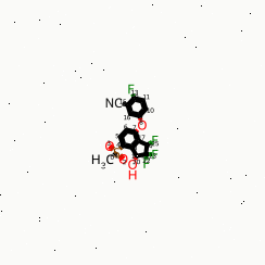 CS(=O)(=O)c1ccc(Oc2ccc(F)c(C#N)c2)c2c1C(O)C(F)(F)C2F